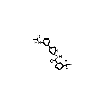 CC(=O)Nc1cccc(-c2ccc(NC(=O)c3cccc(C(F)(F)F)c3)nc2)c1